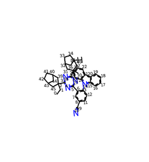 CCC1(c2nc(-c3cc(C#N)ccc3-n3c4ccccc4c4ccccc43)nc(C3(C)CC4CC[C@@H](C4)C3)n2)CC2CCC(C2)C1